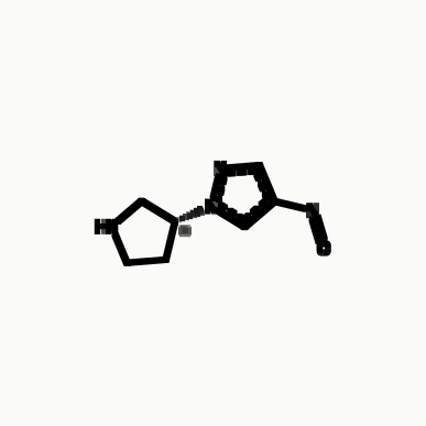 O=Nc1cnn([C@@H]2CCNC2)c1